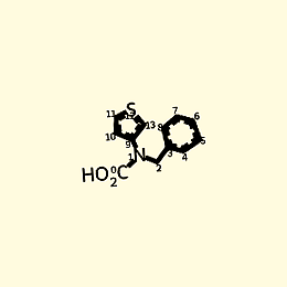 O=C(O)N(Cc1ccccc1)c1ccsc1